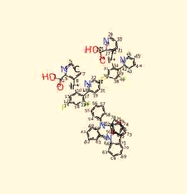 O=C(O)c1nccc[c]1[Ir+][c]1cc(F)cc(F)c1-c1ccccn1.O=C(O)c1nccc[c]1[Ir+][c]1cc(F)cc(F)c1-c1ccccn1.c1ccc(N(c2ccccc2)c2ccccc2-n2c3ccccc3c3ccccc32)cc1